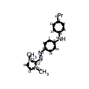 CC(C)c1ccc(Nc2ccc(/N=N/c3n(C)cc[n+]3C)cc2)cc1